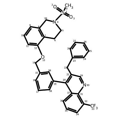 CS(=O)(=O)N1CCc2c(cccc2OCc2cccc(-c3c(Cc4ccccc4)cnc4c(C(F)(F)F)cccc34)c2)C1